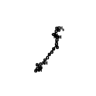 CS(=O)(=O)c1ccc(-c2cccc3nc(Nc4ccc(N5CCN(C(=O)CCOCCOCCOCCOCCOCCNc6ccc7c(c6)C(=O)N(C6CCC(=O)NC6=O)C7=O)CC5)cc4)nn23)cc1